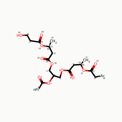 CCCC(=O)OC(COC(=O)C[C@@H](C)OC(=O)CC(C)=O)COC(=O)C[C@H](C)OC(=O)CCO